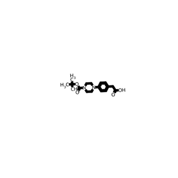 CC(C)(C)OC(=O)N1CCN(c2ccc(CC(=O)O)cc2)CC1